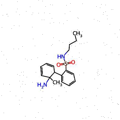 CCCCNS(=O)(=O)c1ccccc1C1C=CC=CC1(C)N